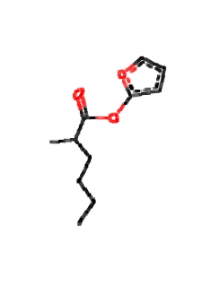 CCCCC(C)C(=O)Oc1ccco1